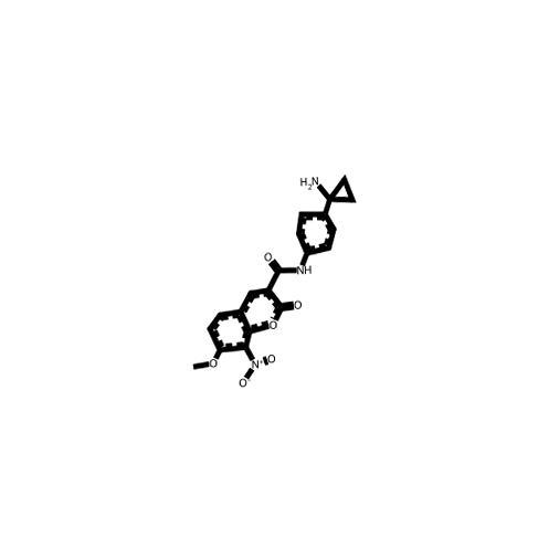 COc1ccc2cc(C(=O)Nc3ccc(C4(N)CC4)cc3)c(=O)oc2c1[N+](=O)[O-]